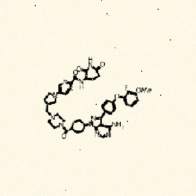 COc1cccc(Oc2ccc(-c3nn(C4CCC(C(=O)N5CCN(CC6CCN(c7ccc(C(=O)NC8CCC(=O)NC8=O)nc7)C6)CC5)CC4)c4ncnc(N)c34)cc2)c1F